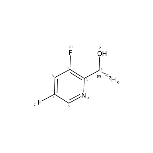 [2H][C@@H](O)c1ncc(F)cc1F